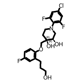 OCCCc1cc(F)ccc1OC[C@]1(O)CCN(c2c(F)cc(Cl)cc2F)C[C@H]1O